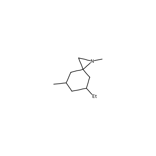 CCC1CC(C)CC2(C1)CN2C